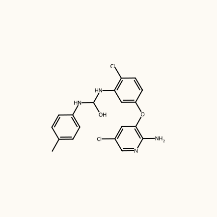 Cc1ccc(NC(O)Nc2cc(Oc3cc(Cl)cnc3N)ccc2Cl)cc1